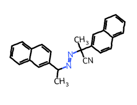 CC(N=NC(C)(C#N)c1ccc2ccccc2c1)c1ccc2ccccc2c1